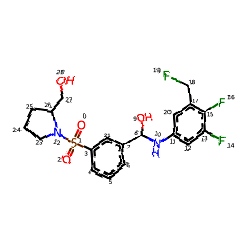 O=S(=O)(c1cccc(C(O)Nc2cc(F)c(F)c(CF)c2)c1)N1CCCC1CO